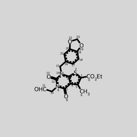 CCOC(=O)c1sc2c(c1C)c(=O)n(CC=O)c(=O)n2Cc1ccc2c(c1)OCO2